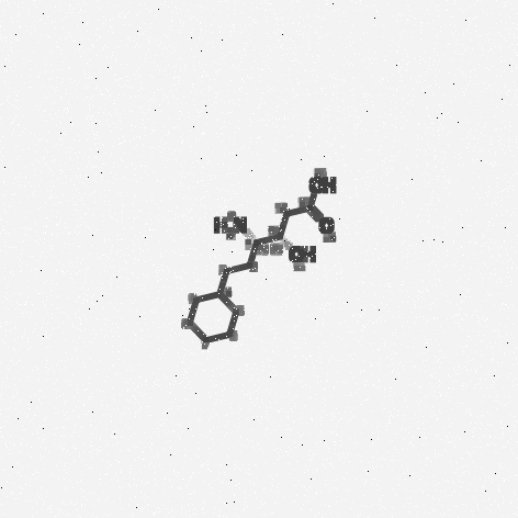 N[C@@H](CCC1CCCCC1)[C@@H](O)CC(=O)O